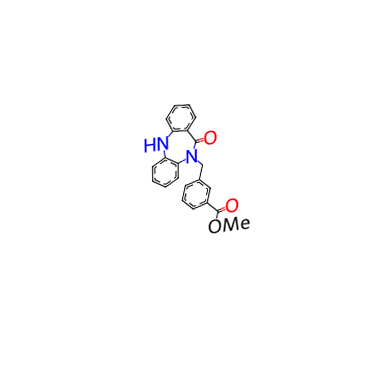 COC(=O)c1cccc(CN2C(=O)c3ccccc3Nc3ccccc32)c1